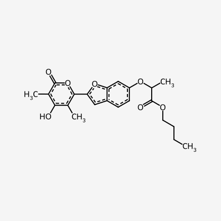 CCCCOC(=O)C(C)Oc1ccc2cc(-c3oc(=O)c(C)c(O)c3C)oc2c1